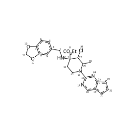 CCOC(=O)C1(NCc2ccc3c(c2)OCO3)CCN(c2ncc3ccsc3n2)C(C)C1Cl